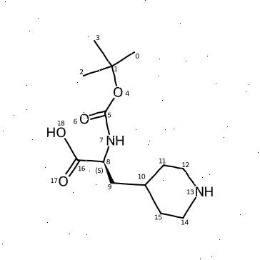 CC(C)(C)OC(=O)N[C@@H](CC1CCNCC1)C(=O)O